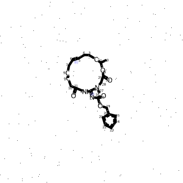 CC1CCC/C=C/CCCCC(=O)N/C(=N/C(=O)OCc2ccccc2)N(C)CC(=O)O1